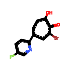 O=c1c(O)ccc(-c2ccc(F)cn2)cc1Br